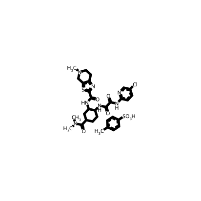 CN1CCc2nc(C(=O)NC3CC(C(=O)N(C)C)CCC3NC(=O)C(=O)Nc3ccc(Cl)cn3)sc2C1.Cc1ccc(S(=O)(=O)O)cc1